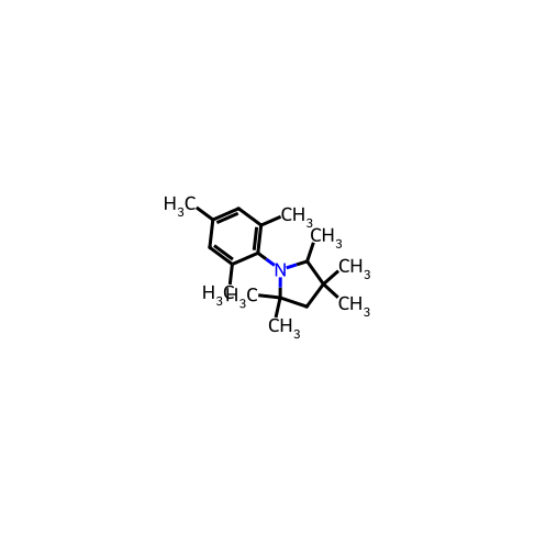 Cc1cc(C)c(N2C(C)C(C)(C)CC2(C)C)c(C)c1